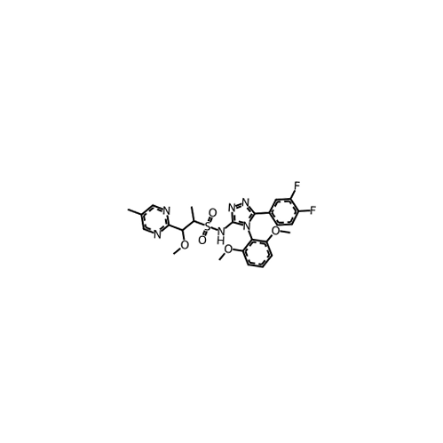 COc1cccc(OC)c1-n1c(NS(=O)(=O)C(C)C(OC)c2ncc(C)cn2)nnc1-c1ccc(F)c(F)c1